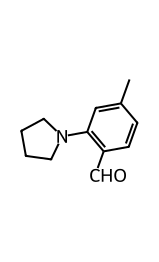 Cc1ccc(C=O)c(N2CCCC2)c1